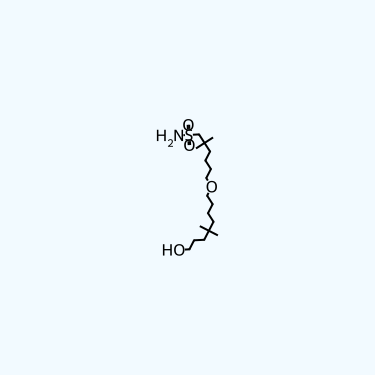 CC(C)(CCCO)CCCCOCCCCC(C)(C)CS(N)(=O)=O